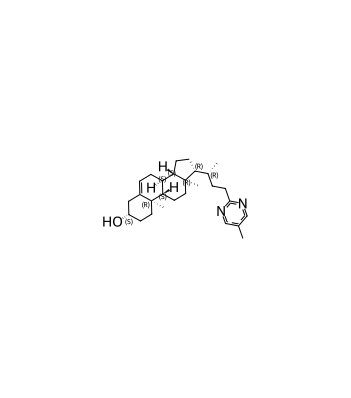 Cc1cnc(CC[C@@H](C)[C@H]2CC[C@H]3[C@@H]4CC=C5C[C@@H](O)CC[C@]5(C)[C@H]4CC[C@]23C)nc1